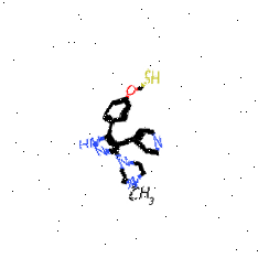 CN1CCN(c2n[nH]c(-c3ccc(OCS)cc3)c2-c2ccncc2)CC1